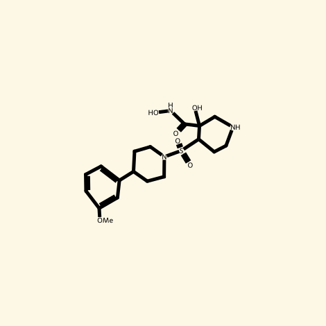 COc1cccc(C2CCN(S(=O)(=O)C3CCNCC3(O)C(=O)NO)CC2)c1